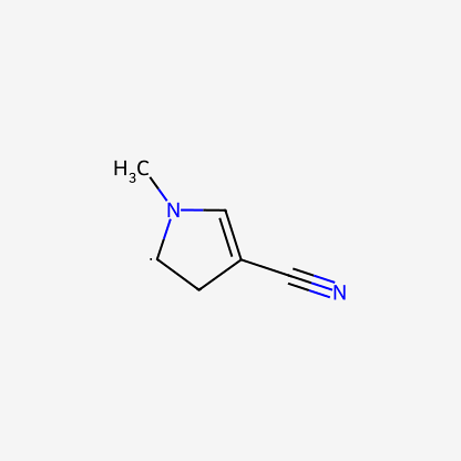 CN1[CH]CC(C#N)=C1